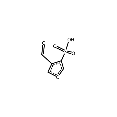 O=Cc1cocc1S(=O)(=O)O